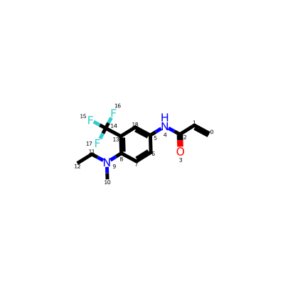 C=CC(=O)Nc1ccc(N(C)CC)c(C(F)(F)F)c1